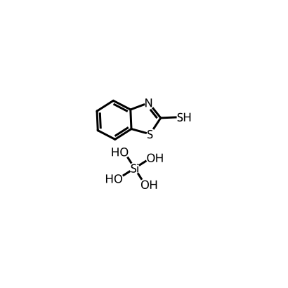 O[Si](O)(O)O.Sc1nc2ccccc2s1